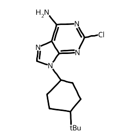 CC(C)(C)C1CCC(n2cnc3c(N)nc(Cl)nc32)CC1